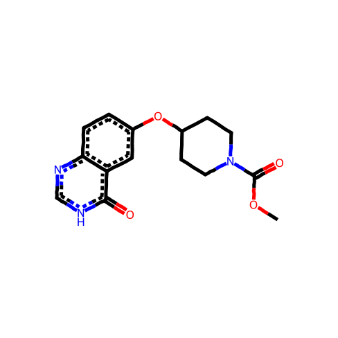 COC(=O)N1CCC(Oc2ccc3nc[nH]c(=O)c3c2)CC1